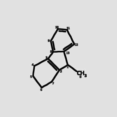 CC1C2=C(CCCC2)c2ccccc21